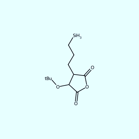 CC(C)(C)OC1C(=O)OC(=O)C1CCC[SiH3]